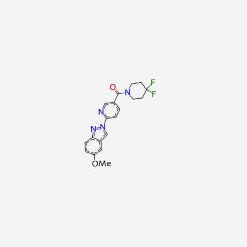 COc1ccc2nn(-c3ccc(C(=O)N4CCC(F)(F)CC4)cn3)cc2c1